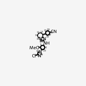 COc1cc(Nc2nc3n(n2)CCCCC3c2ccc(C#N)cc2)ccc1-n1cnc(Cl)c1